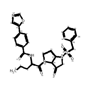 CCCC(NC(=O)c1ccc(-c2cnco2)cc1)C(=O)N1CCC2C1C(=O)CN2S(=O)(=O)Cc1ccccn1